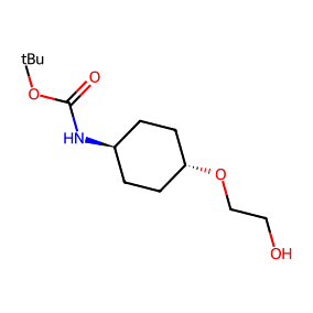 CC(C)(C)OC(=O)N[C@H]1CC[C@H](OCCO)CC1